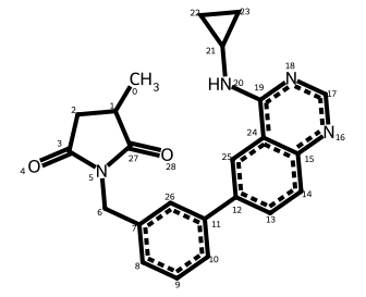 CC1CC(=O)N(Cc2cccc(-c3ccc4ncnc(NC5CC5)c4c3)c2)C1=O